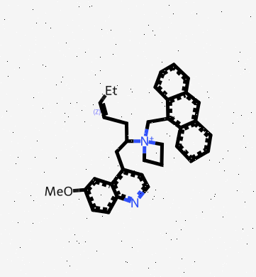 CC/C=C\CC(Cc1ccnc2ccc(OC)cc12)[N+]1(Cc2c3ccccc3cc3ccccc23)CCC1